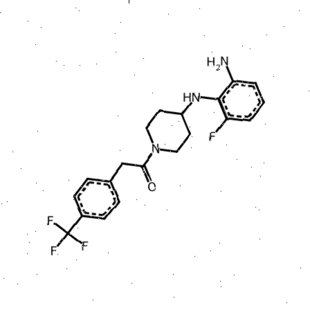 Nc1cccc(F)c1NC1CCN(C(=O)Cc2ccc(C(F)(F)F)cc2)CC1